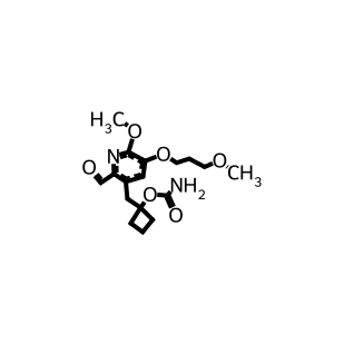 COCCCOc1cc(CC2(OC(N)=O)CCC2)c(C=O)nc1OC